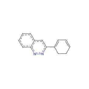 C1=CCCC(c2cc3ccccc3nn2)=C1